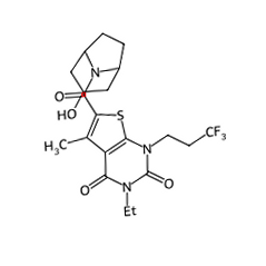 CCn1c(=O)c2c(C)c(C(=O)N3C4CCC3CC(O)C4)sc2n(CCC(F)(F)F)c1=O